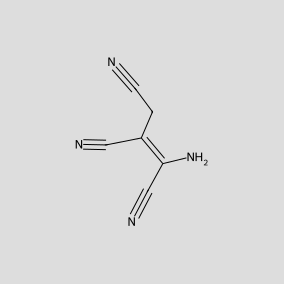 N#CC/C(C#N)=C(\N)C#N